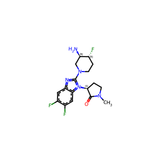 CN1CC[C@H](n2c(N3CC[C@@H](F)[C@H](N)C3)nc3cc(F)c(F)cc32)C1=O